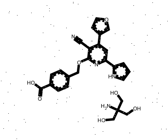 N#Cc1c(-c2ccoc2)cc(-c2ccc[nH]2)nc1OCc1ccc(C(=O)O)cc1.NC(CO)(CO)CO